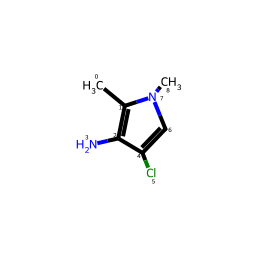 Cc1c(N)c(Cl)cn1C